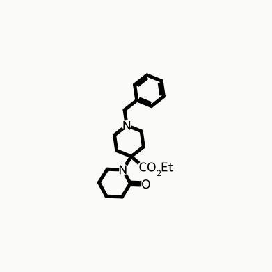 CCOC(=O)C1(N2CCCCC2=O)CCN(Cc2ccccc2)CC1